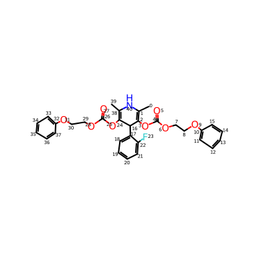 CC1=C(OC(=O)OCCOc2ccccc2)C(c2ccccc2F)C(OC(=O)OCCOc2ccccc2)=C(C)N1